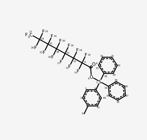 Cc1ccc(S(OC(=O)C(F)(F)C(F)(F)C(F)(F)C(F)(F)C(F)(F)C(F)(F)C(F)(F)F)(c2ccccc2)c2ccccc2)cc1